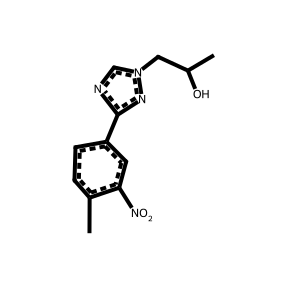 Cc1ccc(-c2ncn(CC(C)O)n2)cc1[N+](=O)[O-]